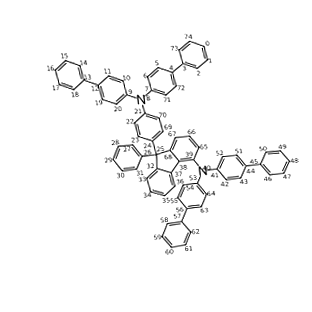 c1ccc(-c2ccc(N(c3ccc(-c4ccccc4)cc3)c3ccc(C4(c5ccccc5)c5ccccc5-c5c(N(c6ccc(-c7ccccc7)cc6)c6ccc(-c7ccccc7)cc6)cccc54)cc3)cc2)cc1